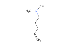 C=CCCCN(C)C(C)(C)C